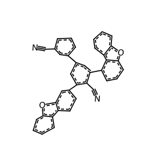 N#Cc1cccc(-c2cc(-c3ccc4c(c3)oc3ccccc34)c(C#N)c(-c3cccc4oc5ccccc5c34)c2)c1